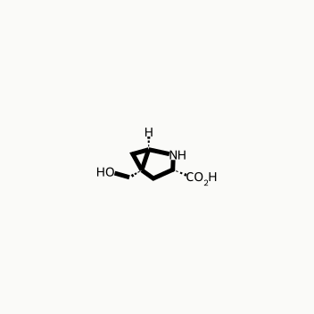 O=C(O)[C@@H]1C[C@@]2(CO)C[C@H]2N1